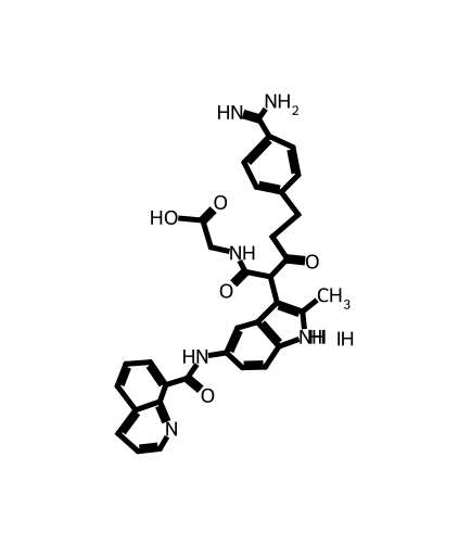 Cc1[nH]c2ccc(NC(=O)c3cccc4cccnc34)cc2c1C(C(=O)CCc1ccc(C(=N)N)cc1)C(=O)NCC(=O)O.I.I